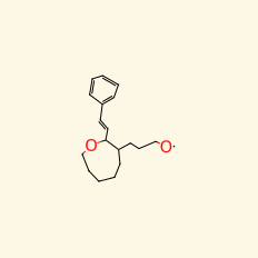 [O]CCCC1CCCCCOC1C=Cc1ccccc1